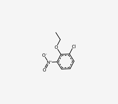 CCOc1c(Cl)cccc1[N+](=O)[O-]